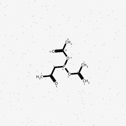 C=C(C)OP(CC(C)=O)OC(C)=O